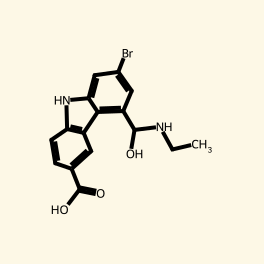 CCNC(O)c1cc(Br)cc2[nH]c3ccc(C(=O)O)cc3c12